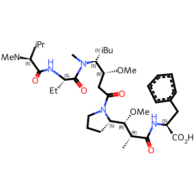 CC[C@H](NC(=O)[C@@H](NC)C(C)C)C(=O)N(C)[C@@H]([C@@H](C)CC)[C@@H](CC(=O)N1CCC[C@H]1[C@H](OC)[C@@H](C)C(=O)N[C@@H](Cc1ccccc1)C(=O)O)OC